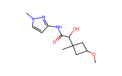 COC1CC(C)(C(O)C(=O)Nc2ccn(C)n2)C1